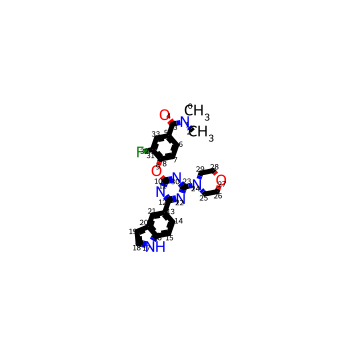 CN(C)C(=O)c1ccc(Oc2nc(-c3ccc4[nH]ccc4c3)nc(N3CCOCC3)n2)c(F)c1